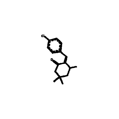 CC1CC(C)(C)CC(=O)C1=Cc1ccc(Cl)cc1